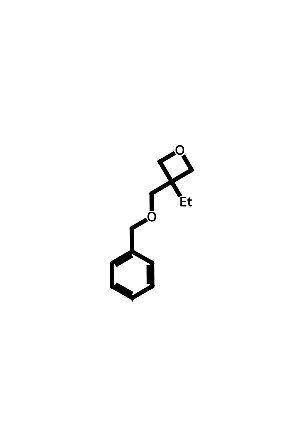 CCC1(COCc2cc[c]cc2)COC1